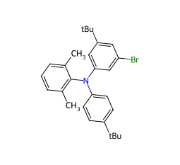 Cc1cccc(C)c1N(c1ccc(C(C)(C)C)cc1)c1cc(Br)cc(C(C)(C)C)c1